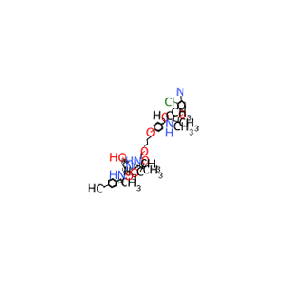 C#Cc1ccc([C@H](C)NC(=O)[C@@H]2C[C@@H](O)CN2C(=O)[C@@H](NC(=O)COCCCCOc2ccc(C(=O)N[C@H]3C(C)(C)[C@H](Oc4ccc(C#N)c(Cl)c4)C3(C)C)cc2)C(C)(C)C)cc1